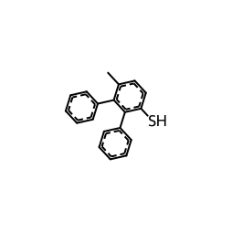 Cc1ccc(S)c(-c2ccccc2)c1-c1ccccc1